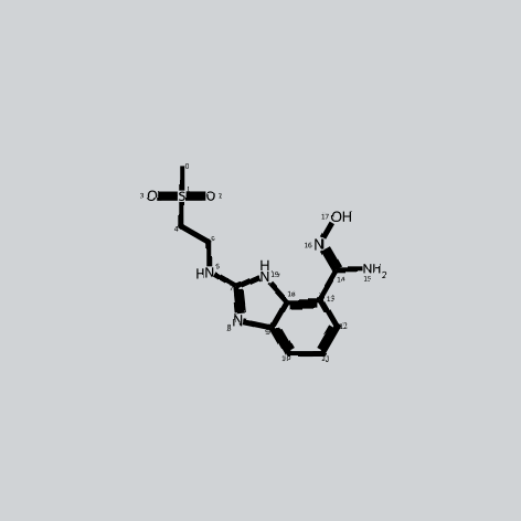 CS(=O)(=O)CCNc1nc2cccc(C(N)=NO)c2[nH]1